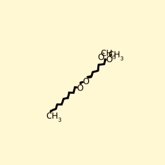 CCCCCCCCCCOCOC=CCCCCC(OC)OC